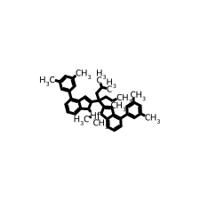 Cc1cc(C)cc(-c2cccc3c2C=C2[CH]3[Hf]([CH3])([CH3])[CH]3C(=Cc4c(-c5cc(C)cc(C)c5)cccc43)C2(CC(C)C)CC(C)C)c1